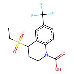 CCS(=O)(=O)C1CCN(C(=O)O)c2ccc(C(F)(F)F)cc21